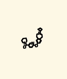 O=C(c1ccc(Oc2ccc3c(c2)CCN(C2CCC2)CC3)nc1)N1CCCCC1